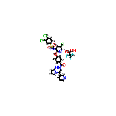 O=C(NCC(c1cccnc1)N1CCCC1)c1ccc(Oc2ncc(Cl)cc2NS(=O)(=O)c2ccc(Cl)c(Cl)c2)cc1.O=C(O)C(F)(F)F